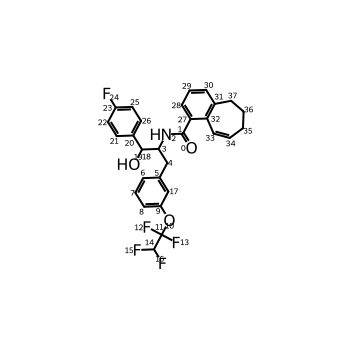 O=C(NC(Cc1cccc(OC(F)(F)C(F)F)c1)C(O)c1ccc(F)cc1)c1cccc2c1C=CCCC2